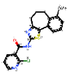 COc1cccc2c1CCCc1nc(NC(=O)c3cccnc3Cl)sc1-2